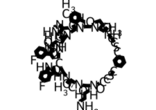 Cc1ccc(C[C@@H]2NC(=O)[C@H](Cc3c[nH]cn3)NC(=O)[C@H](CC(=O)O)NC(=O)[C@H](Cc3c[nH]c4ccc(F)cc34)CC(=O)[C@H](Cc3c[nH]c4ccc(F)cc34)NC(=O)[C@@H](C)NC(=O)[C@H](CCCCN)NC(=O)CCSCc3cccc(c3)CSCCNC(=O)[C@]3(C)CCCN3C2=O)cc1